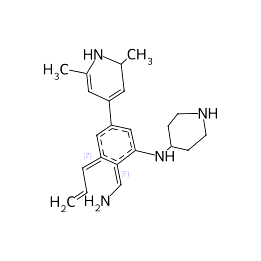 C=C/C=c1/cc(C2=CC(C)NC(C)=C2)cc(NC2CCNCC2)/c1=C/N